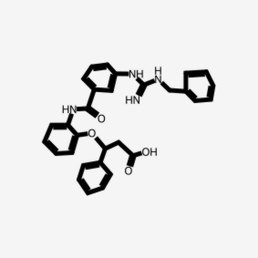 N=C(NCc1ccccc1)Nc1cccc(C(=O)Nc2ccccc2OC(CC(=O)O)c2ccccc2)c1